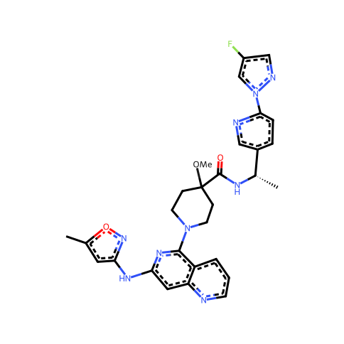 COC1(C(=O)N[C@@H](C)c2ccc(-n3cc(F)cn3)nc2)CCN(c2nc(Nc3cc(C)on3)cc3ncccc23)CC1